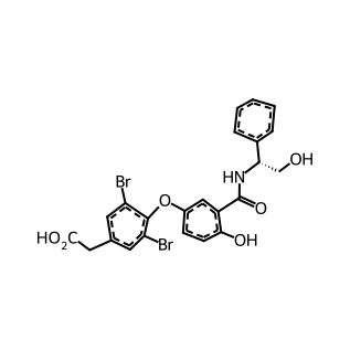 O=C(O)Cc1cc(Br)c(Oc2ccc(O)c(C(=O)N[C@@H](CO)c3ccccc3)c2)c(Br)c1